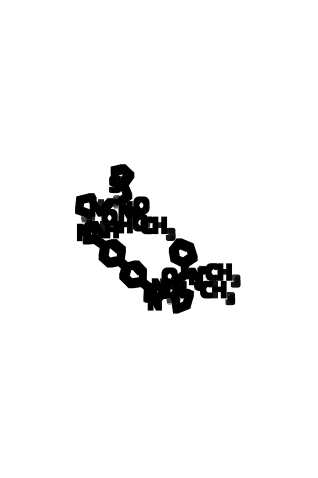 CCN(CC)C(C(=O)N1CCC[C@H]1c1ncc(-c2ccc(-c3ccc(-c4cnc([C@@H]5CCCN5C(=O)C[C@H](Cc5cccs5)NC(=O)OC)[nH]4)cc3)cc2)[nH]1)c1ccccc1